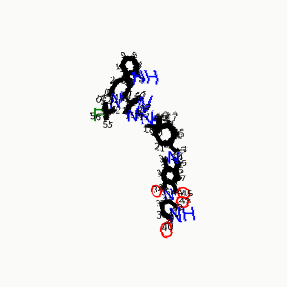 C[C@@H]1Cc2c([nH]c3ccccc23)[C@@H](c2cnc(N3CC4(CCC(CN5Cc6cc7c(cc6C5)C(=O)N(C5CCC(=O)NC5=O)C7=O)CC4)C3)nc2)N1CC(C)(C)F